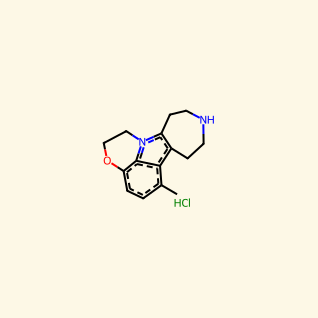 Cc1ccc2c3c1c1c(n3CCO2)CCNCC1.Cl